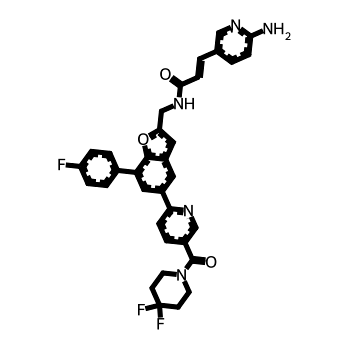 Nc1ccc(/C=C/C(=O)NCc2cc3cc(-c4ccc(C(=O)N5CCC(F)(F)CC5)cn4)cc(-c4ccc(F)cc4)c3o2)cn1